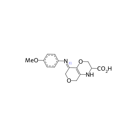 COc1ccc(/N=C2\COCC3=C2OCC(C(=O)O)N3)cc1